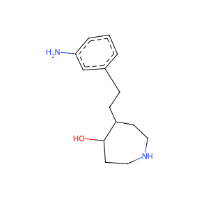 Nc1cccc(CCC2CCNCCC2O)c1